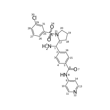 NC(c1ccc(C(=O)Nc2ccncc2)cc1)C1CCCN1S(=O)(=O)c1cccc(Cl)c1